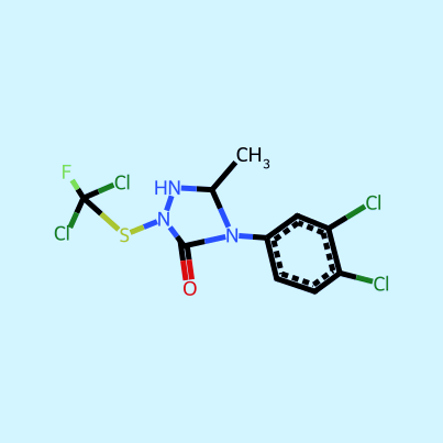 CC1NN(SC(F)(Cl)Cl)C(=O)N1c1ccc(Cl)c(Cl)c1